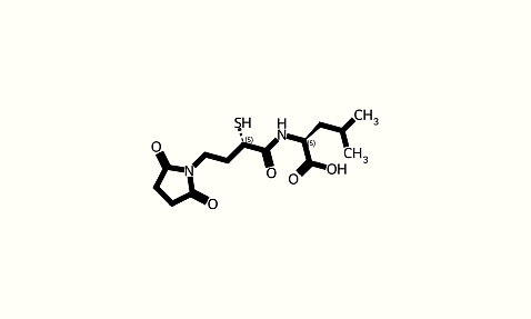 CC(C)C[C@H](NC(=O)[C@@H](S)CCN1C(=O)CCC1=O)C(=O)O